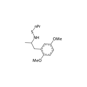 CCCSNC(C)Cc1cc(OC)ccc1OC